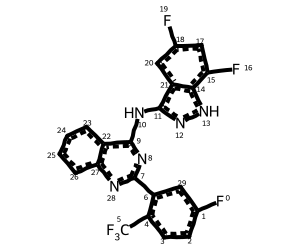 Fc1ccc(C(F)(F)F)c(-c2nc(Nc3n[nH]c4c(F)cc(F)cc34)c3ccccc3n2)c1